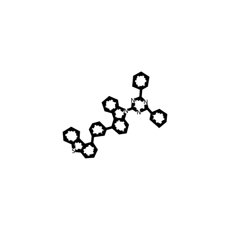 c1ccc(-c2nc(-c3ccccc3)nc(-n3c4ccccc4c4c(-c5cccc(-c6cccc7sc8ccccc8c67)c5)cccc43)n2)cc1